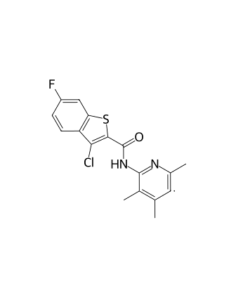 Cc1[c]c(C)c(C)c(NC(=O)c2sc3cc(F)ccc3c2Cl)n1